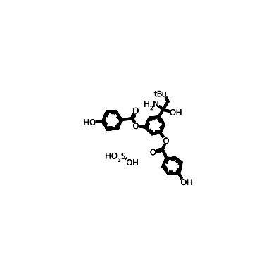 CC(C)(C)CC(N)(O)c1cc(OC(=O)c2ccc(O)cc2)cc(OC(=O)c2ccc(O)cc2)c1.O=S(=O)(O)O